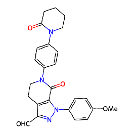 COc1ccc(-n2nc(C=O)c3c2C(=O)N(c2ccc(N4CCCCC4=O)cc2)CC3)cc1